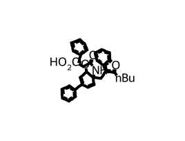 CCCCc1oc2ccccc2c1CC1(NC(=O)CC(=O)O)C=CC(c2ccccc2)=CC1OCc1ccccc1